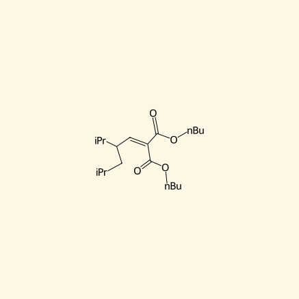 CCCCOC(=O)C(=CC(CC(C)C)C(C)C)C(=O)OCCCC